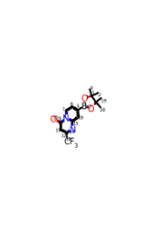 CC1(C)OB(c2ccn3c(=O)cc(C(F)(F)F)nc3c2)OC1(C)C